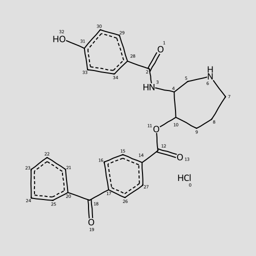 Cl.O=C(NC1CNCCCC1OC(=O)c1ccc(C(=O)c2ccccc2)cc1)c1ccc(O)cc1